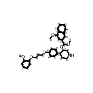 COc1ccccc1OCCCOc1ccc([C@H]2CCNC[C@@H]2OC(OC)c2cc(OC)c3ccccc3c2)cc1